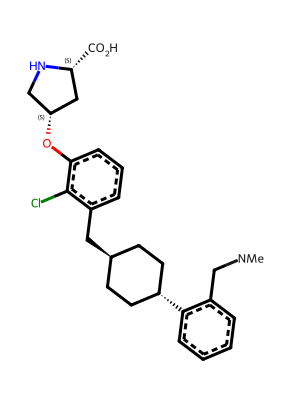 CNCc1ccccc1[C@H]1CC[C@H](Cc2cccc(O[C@@H]3CN[C@H](C(=O)O)C3)c2Cl)CC1